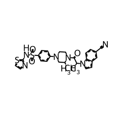 CC1CN(c2ccc(S(=O)(=O)Nc3nccs3)cc2)CCN1C(=O)C(C)n1ccc2cc(C#N)ccc21